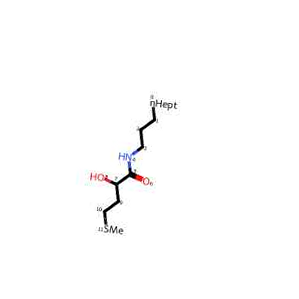 CCCCCCCCCCNC(=O)C(O)CCSC